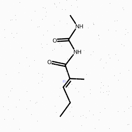 CC/C=C(\C)C(=O)NC(=O)NC